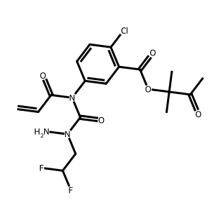 C=CC(=O)N(C(=O)N(N)CC(F)F)c1ccc(Cl)c(C(=O)OC(C)(C)C(C)=O)c1